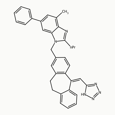 CCCc1nc2c(C)cc(-c3ccccc3)cc2n1Cc1ccc2c(c1)CCc1ccccc1C2=Cc1nnn[nH]1